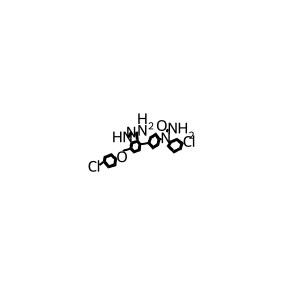 NC(=O)N(c1ccc(-c2ccc(COc3ccc(Cl)cc3)c3[nH]nc(N)c23)cc1)c1cccc(Cl)c1